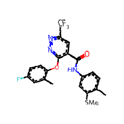 CSc1cc(NC(=O)c2cc(C(F)(F)F)nnc2Oc2ccc(F)cc2C)ccc1C